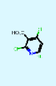 Cl.O=C(O)c1c(Cl)ccnc1Cl